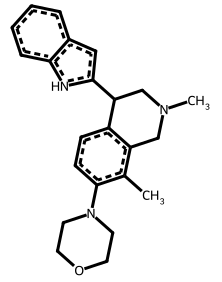 Cc1c(N2CCOCC2)ccc2c1CN(C)CC2c1cc2ccccc2[nH]1